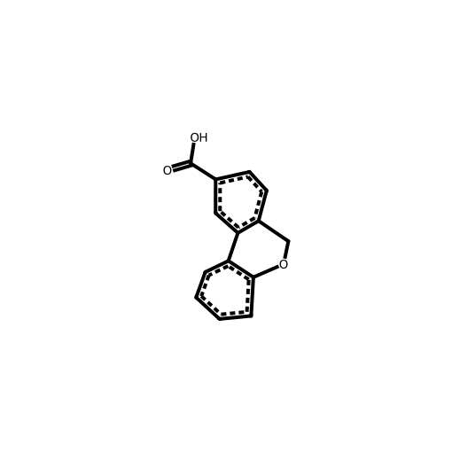 O=C(O)c1ccc2c(c1)-c1ccccc1OC2